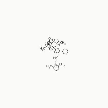 CC(C)C1=CC2CC3(C=O)[C@@H]4CC[C@@H](C)[C@H]4CC2([C@H]2C[C@@H](C4CCCCC4)[C@H](CNCCN4[C@H](C)CCC[C@@H]4C)O2)[C@]13C(=O)O